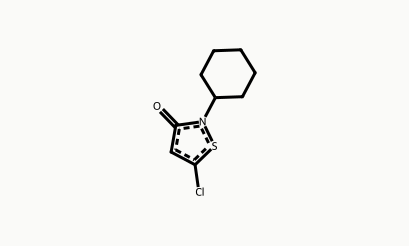 O=c1cc(Cl)sn1C1CCCCC1